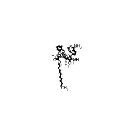 CCCCCCCCCCCCOC(=O)[C@H](C)NP(=O)(OC[C@@]1(C)O[C@@H](c2ccc3c(N)ncnn23)[C@H](O)[C@@H]1O)Oc1ccccc1